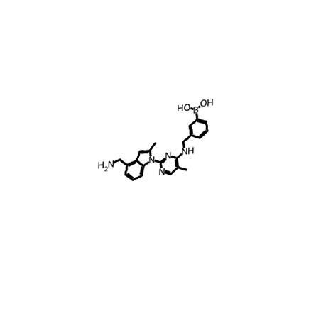 Cc1cnc(-n2c(C)cc3c(CN)cccc32)nc1NCc1cccc(B(O)O)c1